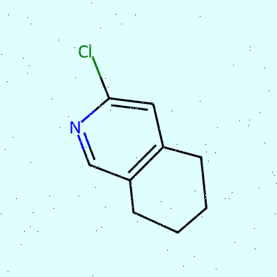 Clc1cc2c(cn1)CCCC2